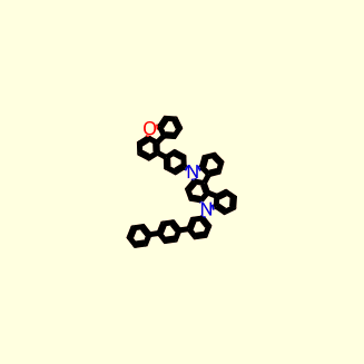 c1ccc(-c2ccc(-c3cccc(-n4c5ccccc5c5c6c7ccccc7n(-c7ccc(-c8cccc9oc%10ccccc%10c89)cc7)c6ccc54)c3)cc2)cc1